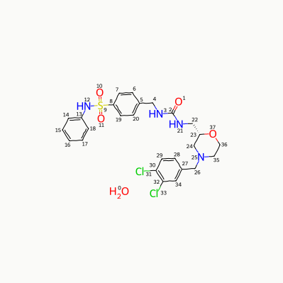 O.O=C(NCc1ccc(S(=O)(=O)Nc2ccccc2)cc1)NC[C@H]1CN(Cc2ccc(Cl)c(Cl)c2)CCO1